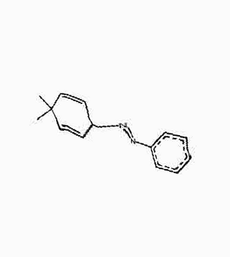 CC1(C)C=CC(N=Nc2ccccc2)C=C1